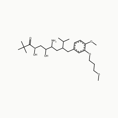 COCCCOc1cc(CC(CC(N)C(O)CN(O)C(=O)C(C)(C)C)C(C)C)ccc1OC